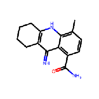 Cc1ccc(C(N)=O)c2c(=N)c3c([nH]c12)CCCC3